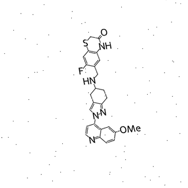 COc1ccc2nccc(-n3cc4c(n3)CCC(NCc3cc5c(cc3F)SCC(=O)N5)C4)c2c1